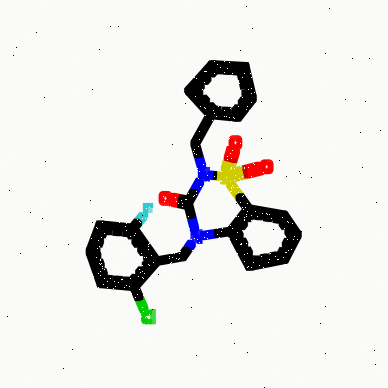 O=C1N(Cc2c(F)cccc2Cl)c2ccccc2S(=O)(=O)N1Cc1ccccc1